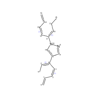 C=C/C=C\C(=C/C)c1cnn(C(/C=C\C=C)=C/CC)c1